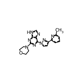 Cc1cccc(-c2ccn(-c3nc(N4CCOCC4)nc4[nH]cnc34)n2)n1